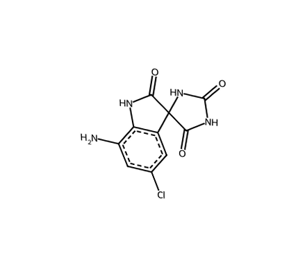 Nc1cc(Cl)cc2c1NC(=O)C21NC(=O)NC1=O